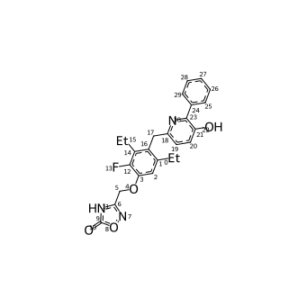 CCc1cc(OCc2noc(=O)[nH]2)c(F)c(CC)c1Cc1ccc(O)c(-c2ccccc2)n1